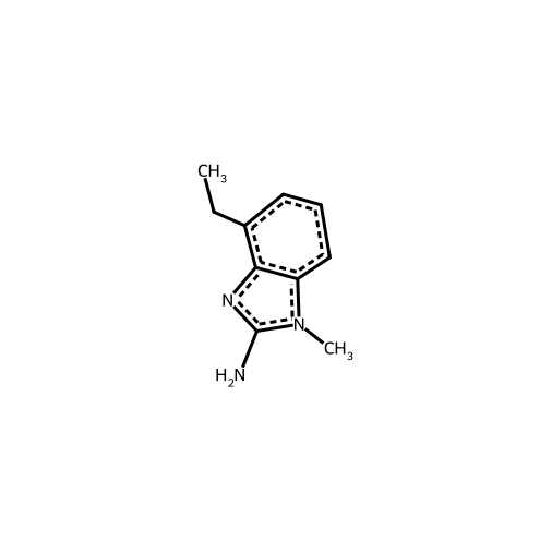 CCc1cccc2c1nc(N)n2C